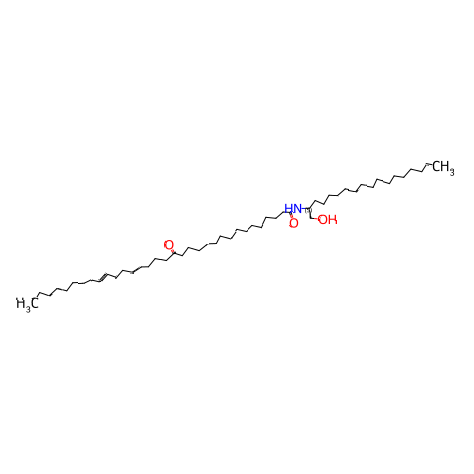 CCCCCCCCC=CCCCCCCCC(=O)CCCCCCCCCCCCCCC(=O)N[C@H](CO)CCCCCCCCCCCCCCCC